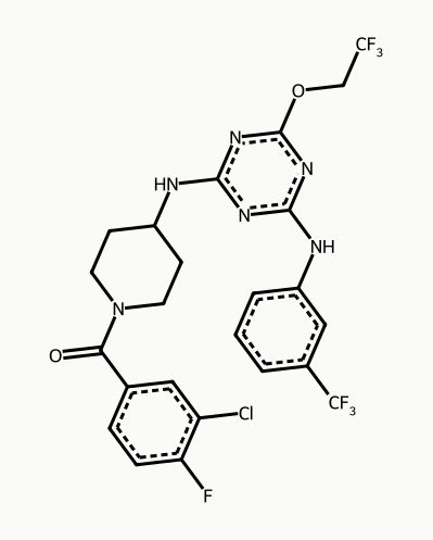 O=C(c1ccc(F)c(Cl)c1)N1CCC(Nc2nc(Nc3cccc(C(F)(F)F)c3)nc(OCC(F)(F)F)n2)CC1